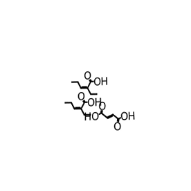 CCC=C(CC)C(=O)O.CCC=C(CC)C(=O)O.O=C(O)C=CC(=O)O